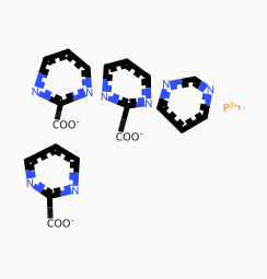 O=C([O-])c1ncccn1.O=C([O-])c1ncccn1.O=C([O-])c1ncccn1.[P+3].c1cncnc1